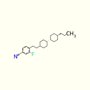 CCC[C@H]1CC[C@H](C2CCC(CCc3ccc(C#N)cc3F)CC2)CC1